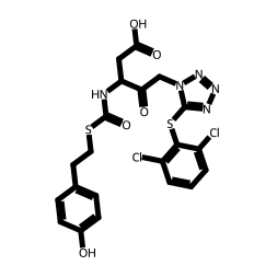 O=C(O)CC(NC(=O)SCCc1ccc(O)cc1)C(=O)Cn1nnnc1Sc1c(Cl)cccc1Cl